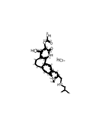 CC(C)CNCc1cc2cc3c(cc2n1C)CCCc1c-3[nH]c(=O)c(OC(=O)O)c1O.Cl